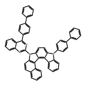 c1ccc(-c2ccc(-c3nc(-n4c5ccc6ccccc6c5c5c6c7ccccc7n(-c7ccc(-c8ccccc8)cc7)c6ccc54)nc4ccccc34)cc2)cc1